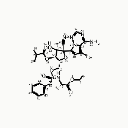 CCOC(=O)[C@H](C)N[P@](=O)(OC[C@H]1O[C@@](C#N)(c2cc(F)c3c(N)ncnn23)[C@](C)(O)[C@@H]1OC(=O)C(C)C)Oc1ccccc1